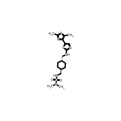 Cc1nc(-c2cnc(NC[C@H]3CC[C@H](CNS(=O)(=O)N(C)C)CC3)s2)c(C)s1